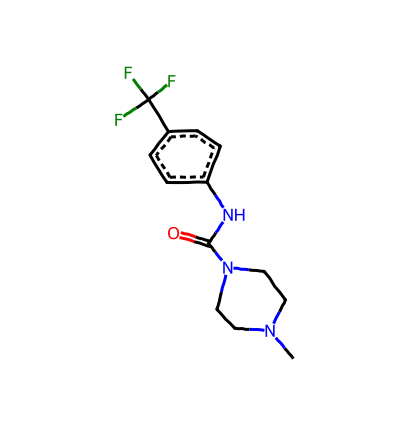 CN1CCN(C(=O)Nc2ccc(C(F)(F)F)cc2)CC1